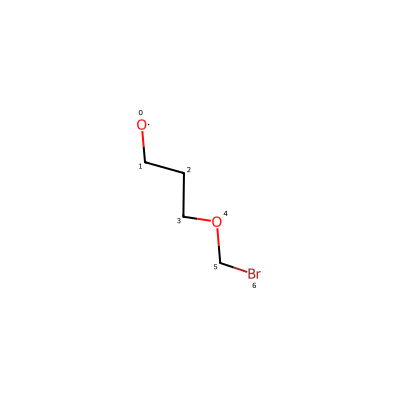 [O]CCCOCBr